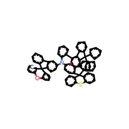 c1ccc(C2(c3ccccc3)c3ccccc3-c3c(-c4ccccc4N(c4ccc5c(c4)-c4ccccc4C54c5ccccc5Oc5ccccc54)c4ccc5c(c4)-c4ccccc4C54c5ccccc5Sc5ccccc54)cccc32)cc1